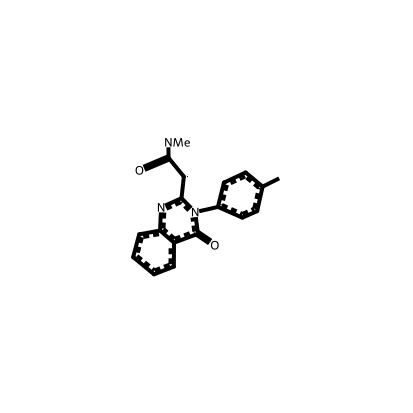 CNC(=O)[CH]c1nc2ccccc2c(=O)n1-c1ccc(C)cc1